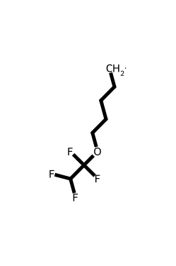 [CH2]CCCCOC(F)(F)C(F)F